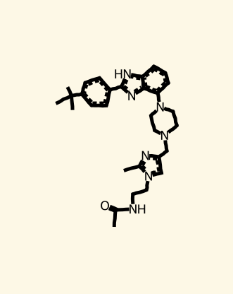 CC(=O)NCCn1cc(CN2CCN(c3cccc4[nH]c(-c5ccc(C(C)(C)C)cc5)nc34)CC2)nc1C